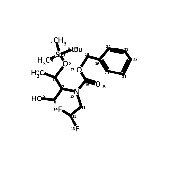 CC(O[Si](C)(C)C(C)(C)C)C(CO)N(CC(F)F)C(=O)OCc1ccccc1